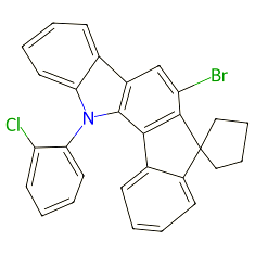 Clc1ccccc1-n1c2ccccc2c2cc(Br)c3c(c21)-c1ccccc1C31CCCC1